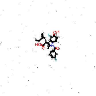 CCC(C)C[C@H](C(=O)O)c1c(C)n(C(=O)c2cccc(F)c2)c2ccc(O)c(F)c12